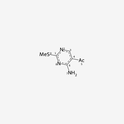 CSc1ncc(C(C)=O)c(N)n1